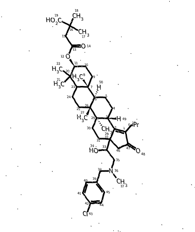 CC(C)C1=C2[C@H]3CC[C@@H]4[C@@]5(C)CC[C@H](OC(=O)CC(C)(C)C(=O)O)C(C)(C)C5CC[C@@]4(C)[C@]3(C)CCC2(C(O)CN(C)Cc2ccc(Cl)cc2)CC1=O